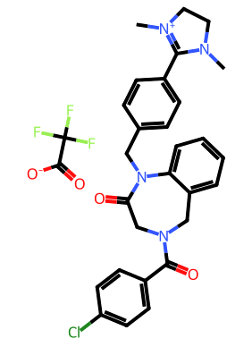 CN1CC[N+](C)=C1c1ccc(CN2C(=O)CN(C(=O)c3ccc(Cl)cc3)Cc3ccccc32)cc1.O=C([O-])C(F)(F)F